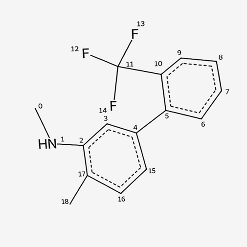 CNc1cc(-c2ccccc2C(F)(F)F)ccc1C